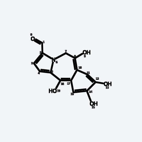 O=Cc1ccc2n1CC(O)=c1cc(O)c(O)cc1=C2O